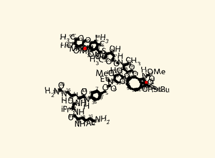 CCN(C(=O)OCc1ccc(NC(=O)[C@H](CCCNC(N)=O)NC(=O)[C@@H](NC(=O)[C@H](CCCCN)NC(C)=O)C(C)C)cc1)[C@H]1CO[C@@H](O[C@H]2[C@H](O[C@H]3C#CC=CC#C[C@]4(O)CC(=O)C(NC(=O)OC)=C3C4=CCSSC(C)(C)C)O[C@H](C)[C@@H](NO[C@H]3C[C@H](O)[C@H](SC(=O)c4c(C)c(I)c(O[C@@H]5O[C@@H](C)[C@H](O)[C@@H](OC)[C@H]5O)c(OC)c4OC)[C@@H](C)O3)[C@@H]2O)C[C@@H]1OC